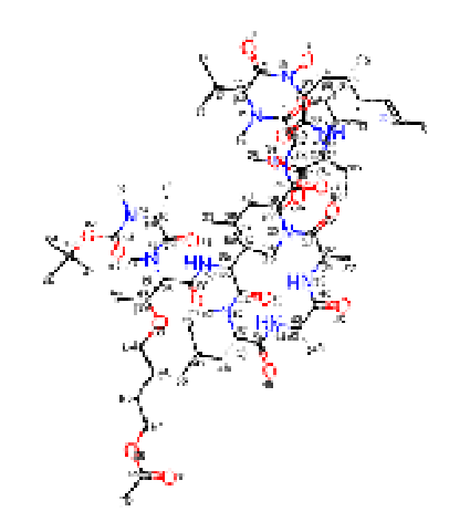 C/C=C/C[C@@H](C)[C@H]1ON(C(=O)[C@H](C(C)C)N(C)C(=O)[C@H](CC(C)C)N(C)C(=O)[C@H](CC(C)C)N(C)C(=O)[C@@H](C)NC(=O)[C@H](C)NC(=O)[C@H](CC(C)C)N(C)C(=O)[C@@H](NC(=O)[C@H]([C@H](C)OCCCCOC(C)=O)N(C)C(=O)[C@@H](C)N(C)C(=O)OC(C)(C)C)C(C)C)[C@@H]1C(=O)N[C@@H](CC)C(=O)OC